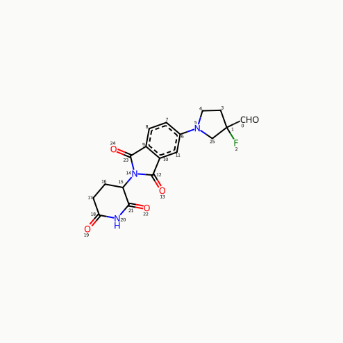 O=CC1(F)CCN(c2ccc3c(c2)C(=O)N(C2CCC(=O)NC2=O)C3=O)C1